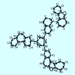 c1cc(-c2cccc3oc4ccccc4c23)c2ccc(-c3nc(-c4ccc5c(ccc6ccccc65)c4)nc(-c4ccc5c(ccc6oc7ccccc7c65)c4)n3)cc2c1